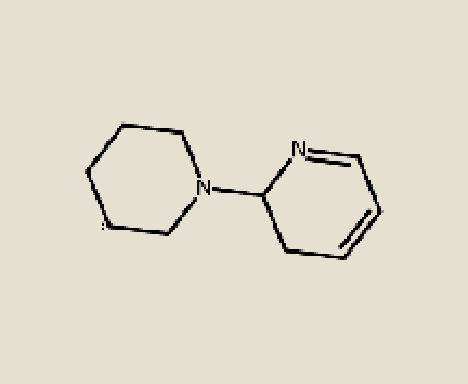 [C]1CCCN(C2CC=CC=N2)C1